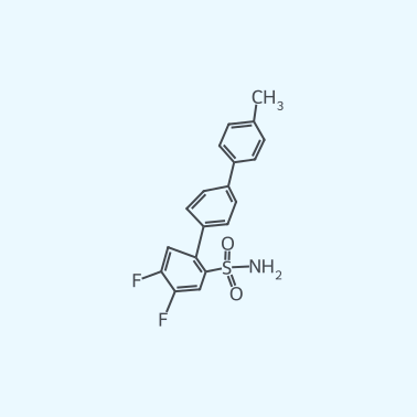 Cc1ccc(-c2ccc(-c3cc(F)c(F)cc3S(N)(=O)=O)cc2)cc1